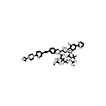 COC(=O)N[C@H](C(=O)NN(Cc1c(F)cc(-c2ncccn2)cc1F)C[C@H](O)[C@H](Cc1ccc(C#Cc2ccc(N3CCN(C4COC4)CC3)nc2)cc1)NC(=O)[C@@H](NC(=O)OC)C(C)(C)C(F)(F)F)C(C)(C)C